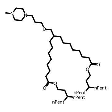 CCCCCC(CCCCC)CCOC(=O)CCCCCCCC(CCCCCCCC(=O)OCCC(CCCCC)CCCCC)COCCCN1CCN(C)CC1